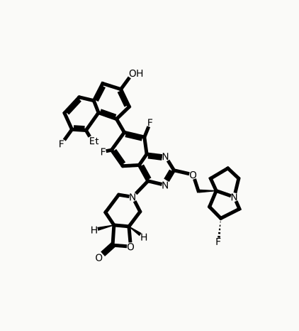 CCc1c(F)ccc2cc(O)cc(-c3c(F)cc4c(N5CC[C@H]6C(=O)O[C@H]6C5)nc(OC[C@@]56CCCN5C[C@H](F)C6)nc4c3F)c12